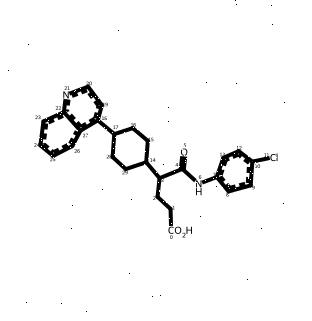 O=C(O)CCC(C(=O)Nc1ccc(Cl)cc1)C1CCC(c2ccnc3ccccc23)CC1